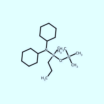 CCC[Si](C)(O[Si](C)(C)C)N(C1CCCCC1)C1CCCCC1